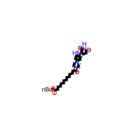 CCCCOC(=O)CCCCCCCCCCCCC(=O)N1CCN(c2ccc(NC3CCC(=O)NC3=O)cc2)CC1